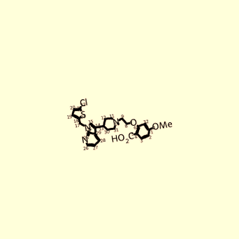 COc1ccc(C(=O)O)c(OCCN2CCC(c3cn(Cc4ccc(Cl)s4)c4ncccc34)CC2)c1